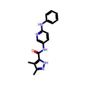 Cc1n[nH]c(C(=O)Nc2ccc(Nc3ccccc3)nc2)c1C